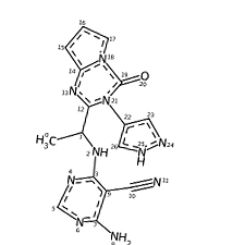 CC(Nc1ncnc(N)c1C#N)c1nc2cccn2c(=O)n1-c1cn[nH]c1